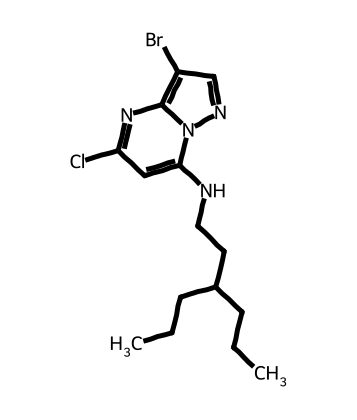 CCCC(CCC)CCNc1cc(Cl)nc2c(Br)cnn12